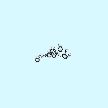 Cc1cccc(N(Cc2ccc(F)c(F)c2)C(=O)O[C@H]2C[N+]3(CCOc4ccccc4)CCC2CC3)c1